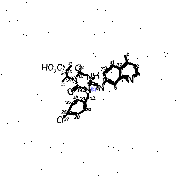 Cc1ccnc2cc(/N=c3\[nH]c(=O)n([C@@H](C)[C@@H](C)C(=O)O)c(=O)n3Cc3ccc(Cl)cc3)ccc12